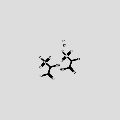 O=C(O)C(O)S(=O)(=O)[O-].O=C(O)C(O)S(=O)(=O)[O-].[K+].[K+]